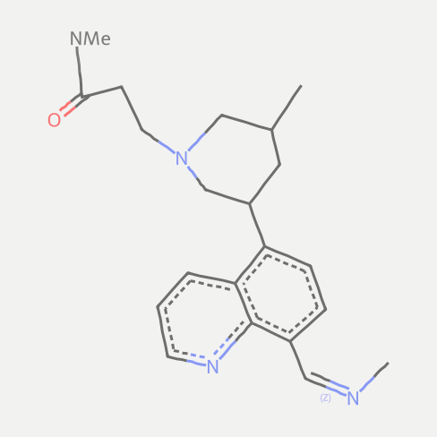 C/N=C\c1ccc(C2CC(C)CN(CCC(=O)NC)C2)c2cccnc12